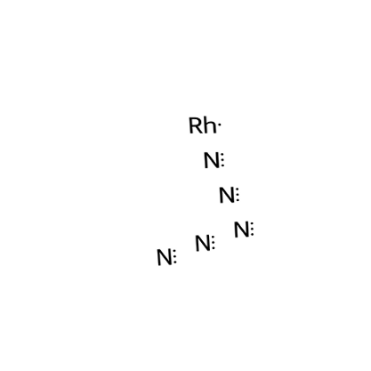 [N].[N].[N].[N].[N].[Rh]